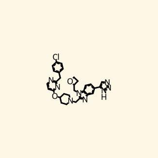 Clc1ccc(Cc2nccc(OC3CCN(Cc4nc5cc(-c6cnn[nH]6)ccc5n4CC4CCO4)CC3)n2)cc1